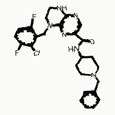 O=C(NC1CCN(Cc2ccccc2)CC1)c1cnc2c(n1)N(Cc1c(F)ccc(F)c1Cl)CCN2